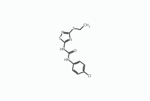 CCSc1nsc(NC(=O)Nc2ccc(Cl)cc2)n1